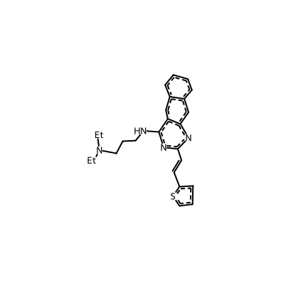 CCN(CC)CCCNc1nc(C=Cc2cccs2)nc2cc3ccccc3cc12